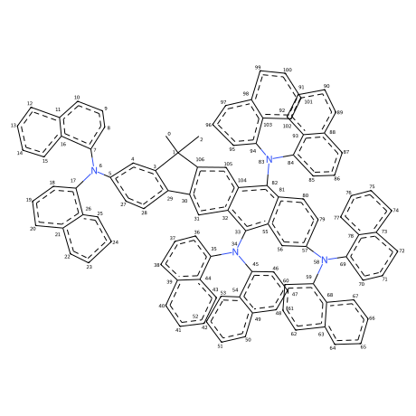 CC1(C)c2cc(N(c3cccc4ccccc34)c3cccc4ccccc34)ccc2-c2cc3c(N(c4cccc5ccccc45)c4cccc5ccccc45)c4cc(N(c5cccc6ccccc56)c5cccc6ccccc56)ccc4c(N(c4cccc5ccccc45)c4cccc5ccccc45)c3cc21